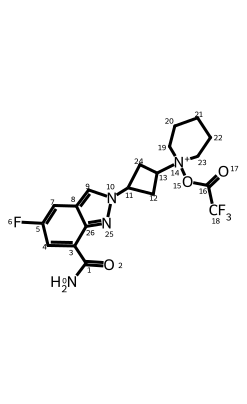 NC(=O)c1cc(F)cc2cn(C3CC([N+]4(OC(=O)C(F)(F)F)CCCCC4)C3)nc12